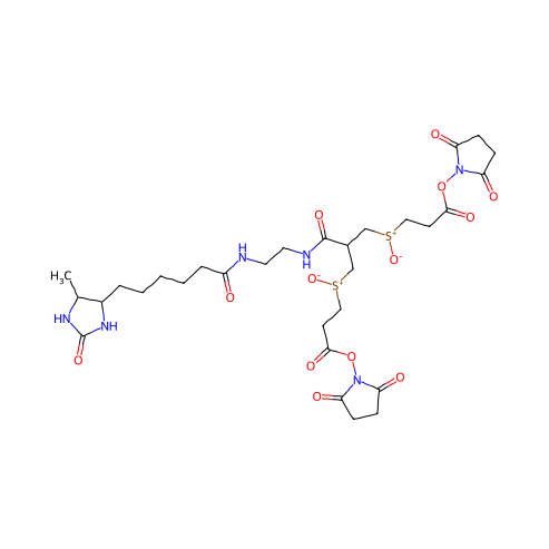 CC1NC(=O)NC1CCCCCC(=O)NCCNC(=O)C(C[S+]([O-])CCC(=O)ON1C(=O)CCC1=O)C[S+]([O-])CCC(=O)ON1C(=O)CCC1=O